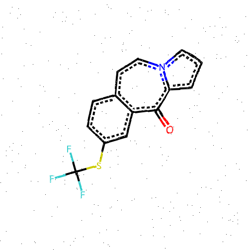 O=c1c2cc(SC(F)(F)F)ccc2ccn2cccc12